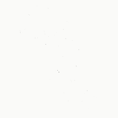 COc1ccc2c(c1OS(=O)(=O)c1ccccc1C)CN1CCc3cc4c(cc3C1C2)OCO4